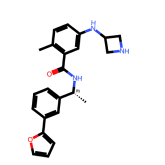 Cc1ccc(NC2CNC2)cc1C(=O)N[C@H](C)c1cccc(-c2ccco2)c1